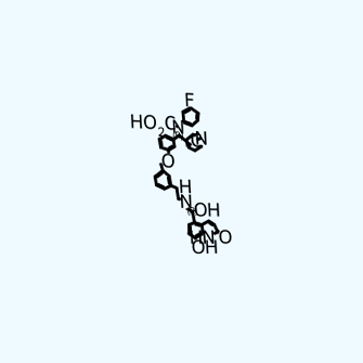 O=C(O)N(c1cccc(F)c1)[C@@H](c1cccc(OCc2cccc(CCNC[C@H](O)c3ccc(O)c4[nH]c(=O)ccc34)c2)c1)C1CN2CCC1CC2